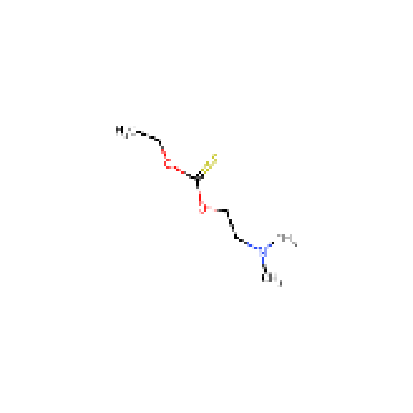 CCOC(=S)OCCN(C)C